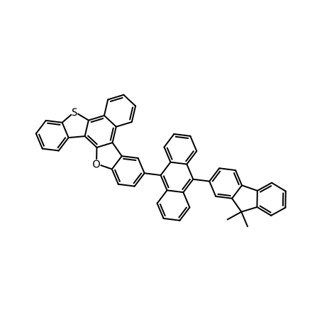 CC1(C)c2ccccc2-c2ccc(-c3c4ccccc4c(-c4ccc5oc6c(c5c4)c4ccccc4c4sc5ccccc5c64)c4ccccc34)cc21